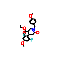 CCOC(=O)C1CN(Cc2ccc(OC)cc2)C(=O)CC1c1c(F)cc(OC)cc1F